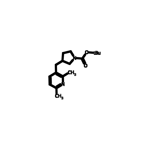 Cc1ccc(CC2CCN(C(=O)OC(C)(C)C)C2)c(C)n1